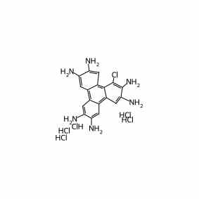 Cl.Cl.Cl.Cl.Cl.Nc1cc2c3cc(N)c(N)cc3c3c(Cl)c(N)c(N)cc3c2cc1N